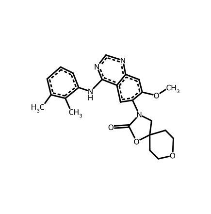 COc1cc2ncnc(Nc3cccc(C)c3C)c2cc1N1CC2(CCOCC2)OC1=O